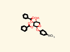 O=C(O[C@@H]1[C@@H](OC(=O)c2ccccc2)[C@H](Oc2ccc([N+](=O)[O-])cc2)OC[C@@H]1O)c1ccccc1